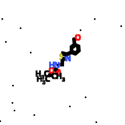 CC(C)(C)OC(=O)NCc1nc(-c2cccc(C=O)c2)cs1